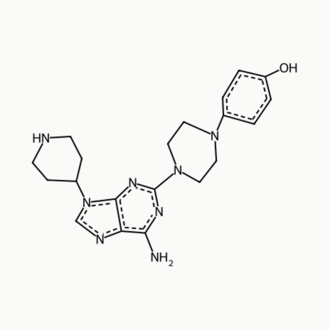 Nc1nc(N2CCN(c3ccc(O)cc3)CC2)nc2c1ncn2C1CCNCC1